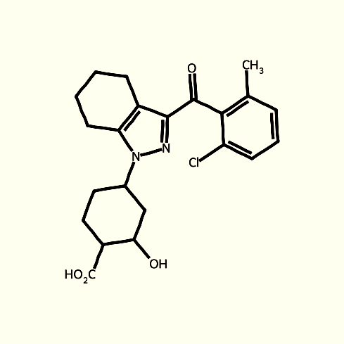 Cc1cccc(Cl)c1C(=O)c1nn(C2CCC(C(=O)O)C(O)C2)c2c1CCCC2